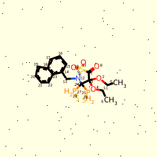 CCOC1(OCC)C(=O)S(=O)(=O)N(Cc2cccc3ccccc23)C1([PH2]=S)[PH2]=S